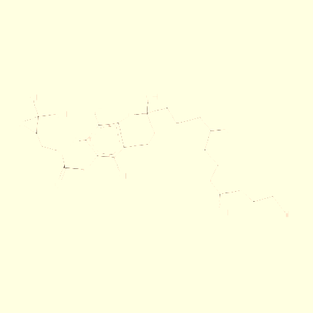 Cc1c(C)c2c(c(C)c1OC(=O)OCC1OC1(C)C)CCC(C)(CCCC(C)CCCC(C)CCCC(C)C)O2